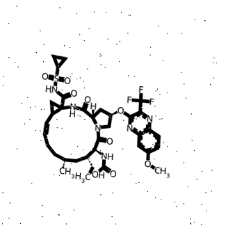 CC[C@@H]1C[C@H](C)CC/C=C\C2CC2(C(=O)NS(=O)(=O)C2CC2)NC(=O)[C@@H]2C[C@@H](Oc3nc4cc(OC)ccc4nc3C(F)(F)F)CN2C(=O)[C@H]1NC(=O)O